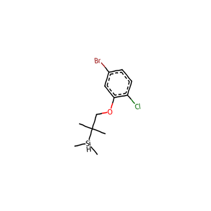 C[SiH](C)C(C)(C)COc1cc(Br)ccc1Cl